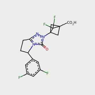 O=C(O)C12CC(n3nc4n(c3=O)C(c3cc(F)cc(F)c3)CC4)(C1)C2(F)F